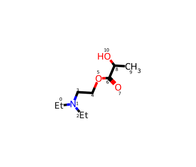 CCN(CC)CCOC(=O)C(C)O